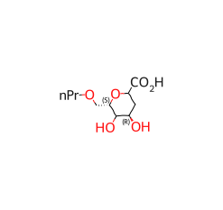 CCCOC[C@@H]1OC(C(=O)O)C[C@@H](O)C1O